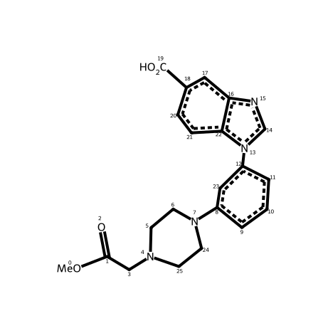 COC(=O)CN1CCN(c2cccc(-n3cnc4cc(C(=O)O)ccc43)c2)CC1